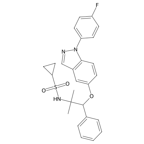 CC(C)(NS(=O)(=O)C1CC1)C(Oc1ccc2c(cnn2-c2ccc(F)cc2)c1)c1ccccc1